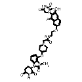 Cn1c(=O)n(C2CCC(=O)NC2=O)c2cccc(OC3CCN(CC(=O)NCCOc4ccc5cc(O)c(N6CC(=O)NS6(=O)=O)c(F)c5c4)CC3)c21